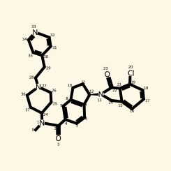 CN(C(=O)c1ccc2c(c1)CC[C@H]2N1Cc2cccc(Cl)c2C1=O)C1CCN(CCc2ccncc2)CC1